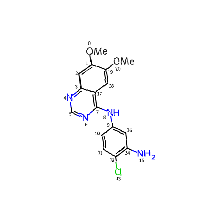 COc1cc2ncnc(Nc3ccc(Cl)c(N)c3)c2cc1OC